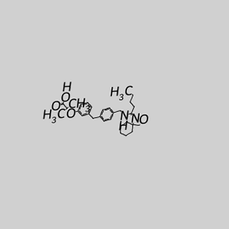 CCCC/C(=N/C1(C=O)CCCCC1)NCc1ccc(Cc2cccc(OC(C)(C)C(=O)O)c2)cc1